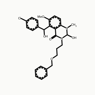 COc1ccc2c(c1C(O)c1ccc(Cl)cc1)C(=O)N(CCCOCc1ccccc1)C(O)N2C